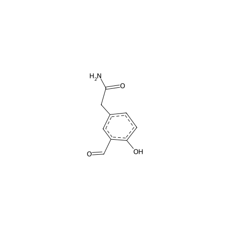 NC(=O)Cc1ccc(O)c(C=O)c1